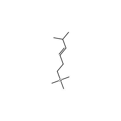 C[C](C)C=CCC[Si](C)(C)C